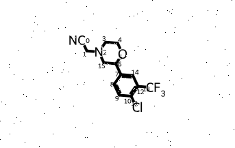 N#CCN1CCOC(c2ccc(Cl)c(C(F)(F)F)c2)C1